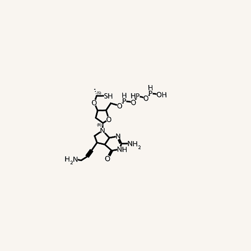 C[C@H](S)OC1C[C@H](N2CC(C#CCN)C3C(=O)NC(N)=NC32)OC1COPOPOPO